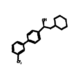 O[C@@H](CC1CCCCC1)c1ccc(-c2cccc(C(F)(F)F)c2)cc1